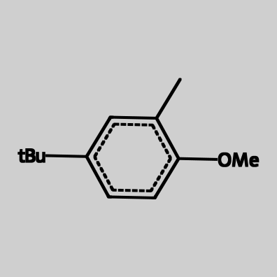 COc1ccc(C(C)(C)C)cc1C